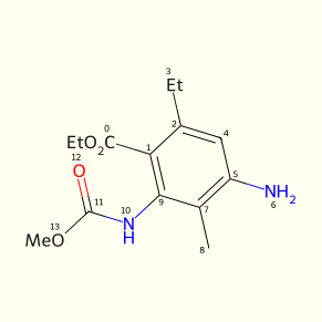 CCOC(=O)c1c(CC)cc(N)c(C)c1NC(=O)OC